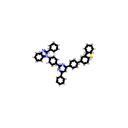 c1ccc(-c2cc(-c3ccc(-c4ccc5sc6ccccc6c5c4)cc3)nc(-c3ccc(-n4c(-c5ccccc5)nc5ccccc54)cc3)n2)cc1